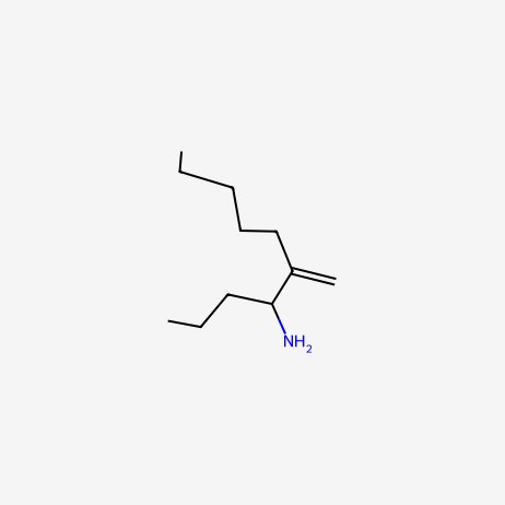 C=C(CCCCC)C(N)CCC